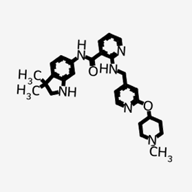 CN1CCC(Oc2cc(CNc3ncccc3C(=O)Nc3ccc4c(c3)NCC4(C)C)ccn2)CC1